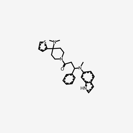 CN(c1ccc2cc[nH]c2c1)C(CC(=O)N1CCC(c2cccs2)(N(C)C)CC1)c1ccccc1